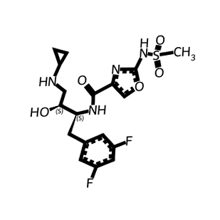 CS(=O)(=O)Nc1nc(C(=O)N[C@@H](Cc2cc(F)cc(F)c2)[C@@H](O)CNC2CC2)co1